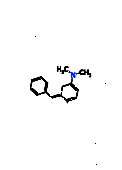 CN(C)C1=CC=[C]C(=Cc2ccccc2)C1